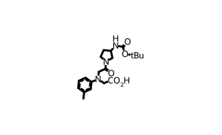 Cc1cccc(N(CC(=O)O)CC(=O)N2CCC(NC(=O)OC(C)(C)C)C2)c1